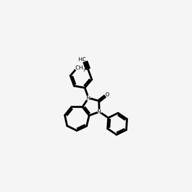 C#C/C=C(\C=C/C)n1c2c(n(-c3ccccc3)c1=O)C=CCC=C2